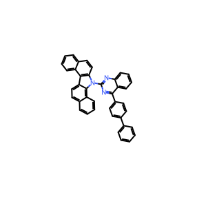 c1ccc(-c2ccc(-c3nc(-n4c5ccc6ccccc6c5c5ccc6ccccc6c54)nc4ccccc34)cc2)cc1